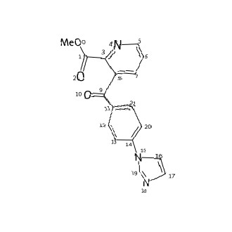 COC(=O)c1ncccc1C(=O)c1ccc(-n2ccnc2)cc1